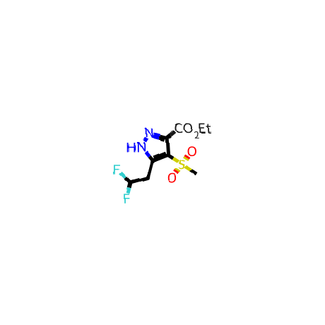 CCOC(=O)c1n[nH]c(CC(F)F)c1S(C)(=O)=O